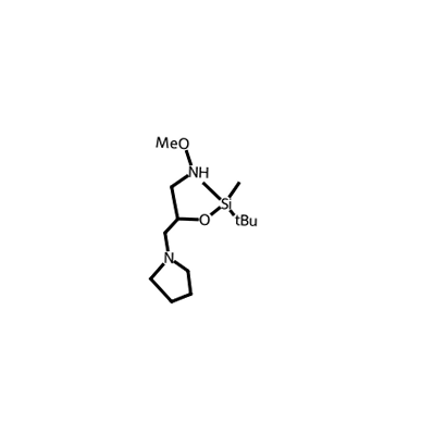 CONCC(CN1CCCC1)O[Si](C)(C)C(C)(C)C